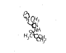 CCC(C)(CC)C(=O)Nc1cc(CN2CCOCC2)c(C)cn1